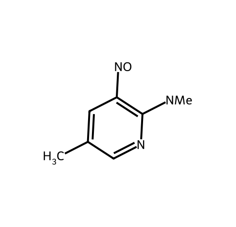 CNc1ncc(C)cc1N=O